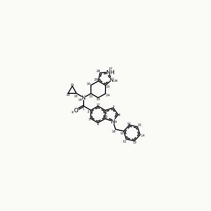 O=C(c1ccc2c(ccn2Cc2ccccc2)c1)N(C1CC1)C1CCc2n[nH]cc2C1